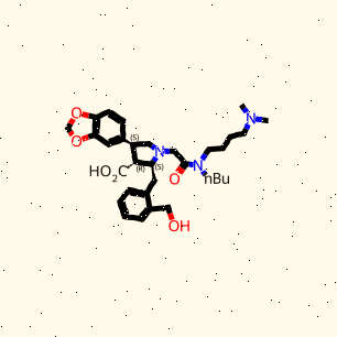 CCCCN(CCCCN(C)C)C(=O)CN1C[C@H](c2ccc3c(c2)OCO3)[C@@H](C(=O)O)[C@@H]1Cc1ccccc1CO